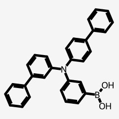 OB(O)c1cccc(N(c2ccc(-c3ccccc3)cc2)c2cccc(-c3ccccc3)c2)c1